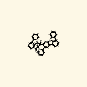 C=CC1(C)[n+]2ccccc2-c2cc3c4cccc5c6ccccc6n(c3cc2C1(C)C1c2ccccc2-c2cccc[n+]21)c54